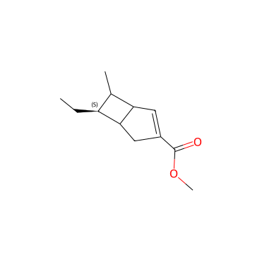 CC[C@H]1C(C)C2C=C(C(=O)OC)CC21